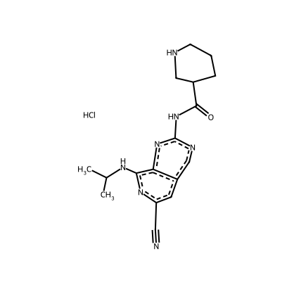 CC(C)Nc1nc(C#N)cc2cnc(NC(=O)C3CCCNC3)nc12.Cl